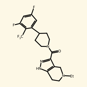 CCN1CCc2[nH]nc(C(=O)N3CCC(c4cc(F)cc(F)c4C(F)(F)F)CC3)c2C1